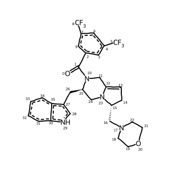 O=C(c1cc(C(F)(F)F)cc(C(F)(F)F)c1)N1CC2=CC[C@H](CN3CCOCC3)N2C[C@H]1Cc1c[nH]c2ccccc12